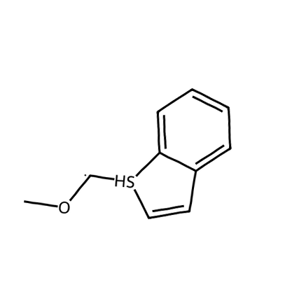 CO[CH][SH]1C=Cc2ccccc21